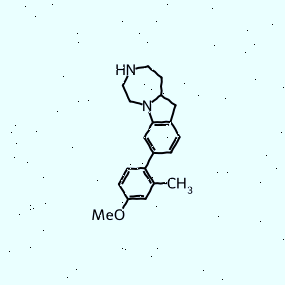 COc1ccc(-c2ccc3c(c2)N2CCNCCC2C3)c(C)c1